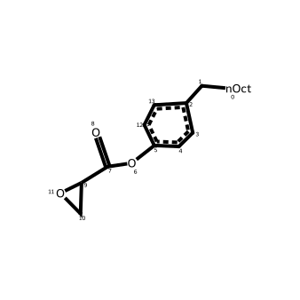 CCCCCCCCCc1ccc(OC(=O)C2CO2)cc1